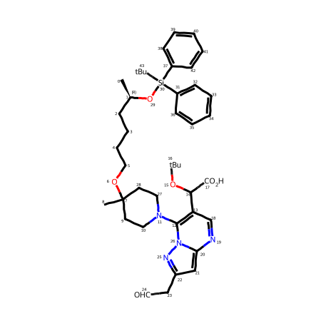 C[C@H](CCCCOC1(C)CCN(c2c(C(OC(C)(C)C)C(=O)O)cnc3cc(CC=O)nn23)CC1)O[Si](c1ccccc1)(c1ccccc1)C(C)(C)C